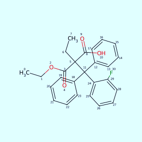 CCOC(=O)C(CC)(C(=O)O)C(c1ccccc1)(c1ccccc1)c1ccccc1F